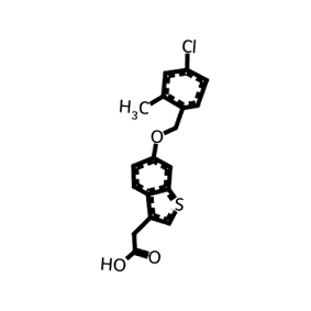 Cc1cc(Cl)ccc1COc1ccc2c(CC(=O)O)csc2c1